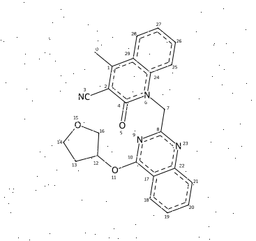 Cc1c(C#N)c(=O)n(Cc2nc(OC3CCOC3)c3ccccc3n2)c2ccccc12